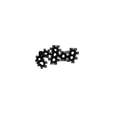 C1=Cc2ccc3oc4ccc(-c5c6ccccc6c(-c6ccc(-c7cccc8ccccc78)cc6)c6ccccc56)cc4c3c2CC1